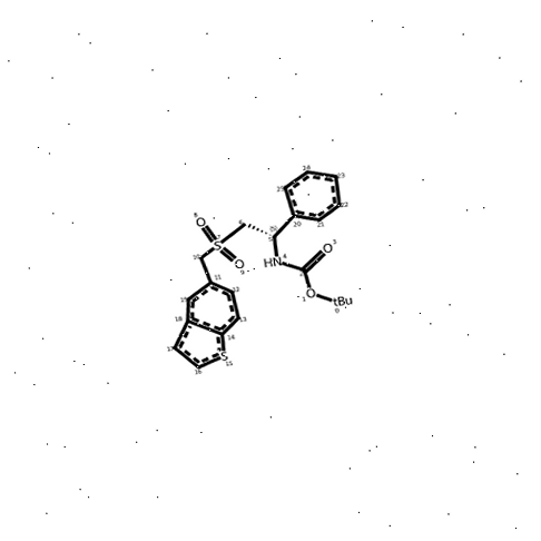 CC(C)(C)OC(=O)N[C@H](CS(=O)(=O)Cc1ccc2sccc2c1)c1ccccc1